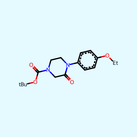 CCOc1ccc(N2CCN(C(=O)OC(C)(C)C)CC2=O)cc1